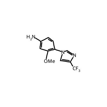 COc1cc(N)ccc1-n1cnc(C(F)(F)F)c1